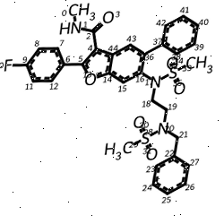 CNC(=O)c1c(-c2ccc(F)cc2)oc2cc(N(CCN(Cc3ccccc3)S(C)(=O)=O)S(C)(=O)=O)c(-c3ccccc3)cc12